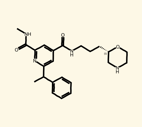 CNC(=O)c1cc(C(=O)NCCC[C@H]2CNCCO2)cc(C(C)c2ccccc2)n1